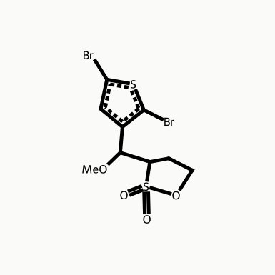 COC(c1cc(Br)sc1Br)C1CCOS1(=O)=O